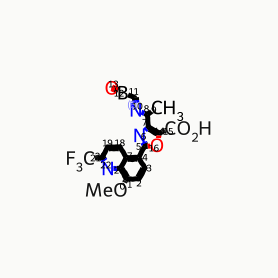 COc1ccc(-c2nc(C(C)/N=C/B=O)c(C(=O)O)o2)c2ccc(C(F)(F)F)nc12